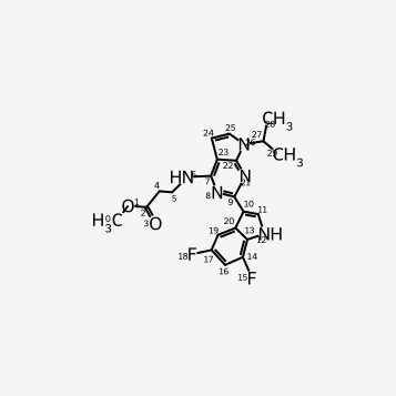 COC(=O)CCNc1nc(-c2c[nH]c3c(F)cc(F)cc23)nc2c1ccn2C(C)C